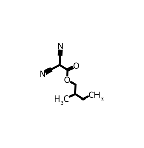 CCC(C)COC(=O)C(C#N)C#N